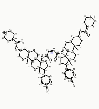 CC12CCC(OC(=O)N3CCNCC3)CC1CCC1C2CCC2(C)C(c3ccc(=O)oc3)CCC12OC(=O)/C=C\C(=O)OC12CCC(c3ccc(=O)oc3)C1(C)CCC1C2CCC2CC(OC(=O)N3CCNCC3)CCC21C